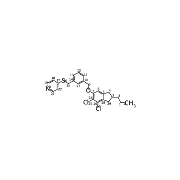 CCCC1Cc2cc(OCc3cccc(CSc4ccncc4)c3)c(Cl)c(Cl)c2C1